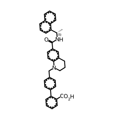 C[C@H](NC(=O)c1ccc2c(c1)CCCN2Cc1ccc(-c2ccccc2C(=O)O)cc1)c1cccc2ccccc12